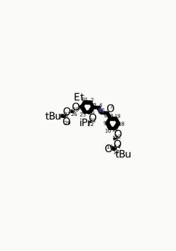 CCc1cc(/C=C/C(=O)c2ccc(OCOC(=O)C(C)(C)C)cc2)c(OC(C)C)cc1OCOC(=O)C(C)(C)C